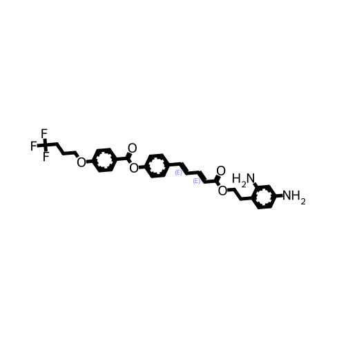 Nc1ccc(CCOC(=O)/C=C/C=C/c2ccc(OC(=O)c3ccc(OCCCC(F)(F)F)cc3)cc2)c(N)c1